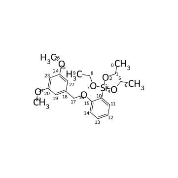 CCO[Si](OCC)(OCC)c1ccccc1OCc1cc(OC)cc(OC)c1